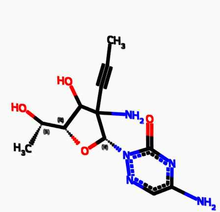 CC#CC1(N)C(O)[C@@H]([C@H](C)O)O[C@H]1n1ncc(N)nc1=O